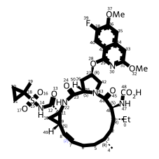 CC[C@@H]1C[C@H](C)CC/C=C\[C@@H]2C[C@@]2(C(=O)NS(=O)(=O)C2(C)CC2)NC(=O)[C@@H]2C[C@@H](Oc3nc(OC)cc4cc(OC)c(F)cc34)CN2C(=O)[C@H]1NC(=O)O